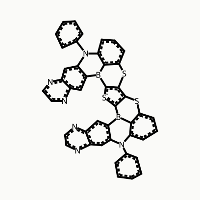 c1ccc(N2c3cc4nccnc4cc3B3c4sc5c(c4Sc4cccc2c43)Sc2cccc3c2B5c2cc4nccnc4cc2N3c2ccccc2)cc1